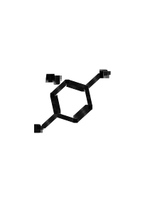 CC(C)c1ccc(Br)cc1.[Mg]